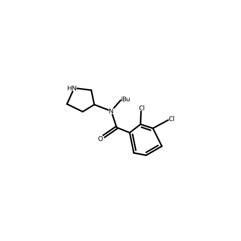 CCC(C)N(C(=O)c1cccc(Cl)c1Cl)C1CCNC1